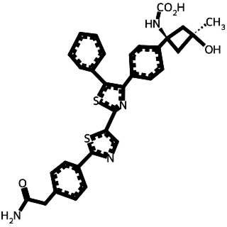 C[C@]1(O)C[C@](NC(=O)O)(c2ccc(-c3nc(-c4cnc(-c5ccc(CC(N)=O)cc5)s4)sc3-c3ccccc3)cc2)C1